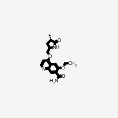 CCOc1cc2c(OCC3C[C@H](F)C(=O)N3)ccnc2cc1C(N)=O